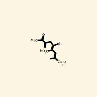 C=C(CC(CC)=C(C=C(C)C(=O)O)C(=O)O)C(=O)OC